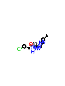 C[C@@H](NC(=O)[C@@H]1C[C@H]1c1cccc(Cl)c1)c1cn(Cc2cn3cc(C4CC4)ccc3n2)nn1